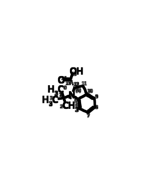 CC(C)(C)N1c2ccccc2C[C@H]1C(=O)O